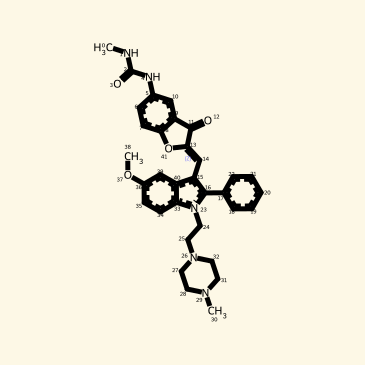 CNC(=O)Nc1ccc2c(c1)C(=O)/C(=C/c1c(-c3ccccc3)n(CCN3CCN(C)CC3)c3ccc(OC)cc13)O2